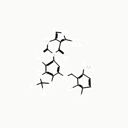 COc1ccc(F)c(F)c1COc1cc(-n2c(=O)[nH]c3csc(C(=O)O)c3c2=O)c(F)c2c1OC(F)(F)O2